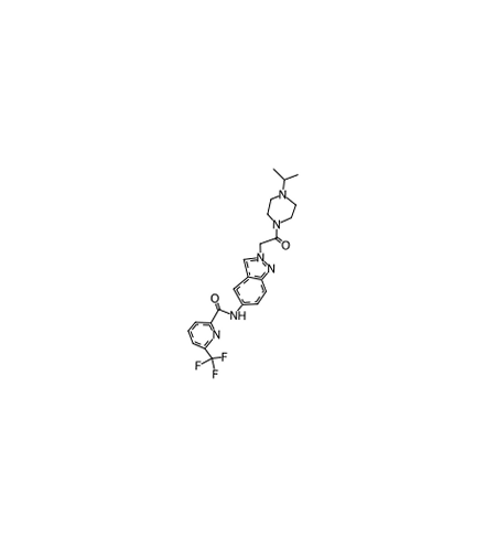 CC(C)N1CCN(C(=O)Cn2cc3cc(NC(=O)c4cccc(C(F)(F)F)n4)ccc3n2)CC1